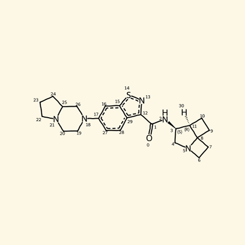 O=C(N[C@@H]1CN2CCC23CC[C@H]13)c1nsc2cc(N3CCN4CCCC4C3)ccc12